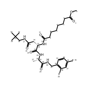 COC(=O)CCCCCCC(=O)N[C@@H](CC(=O)NCC(C)(C)C)C(=O)N[C@@H](C)C(=O)NCc1ccc(F)cc1F